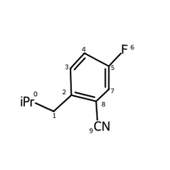 CC(C)Cc1ccc(F)cc1C#N